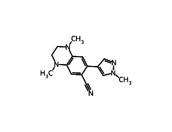 CN1CCN(C)c2cc(-c3cnn(C)c3)c(C#N)cc21